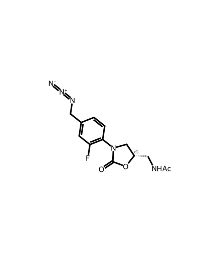 CC(=O)NC[C@H]1CN(c2ccc(CN=[N+]=[N-])cc2F)C(=O)O1